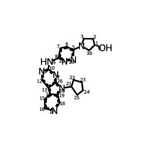 O[C@@H]1CCN(c2ccc(Nc3ncc4c5ccncc5n(C5CCCC5)c4n3)nn2)C1